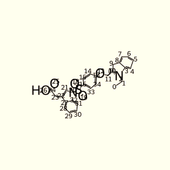 CCN1c2ccccc2C[C@@H]1COc1ccc(S(=O)(=O)n2cc(CC(=O)O)c3ccccc32)cc1